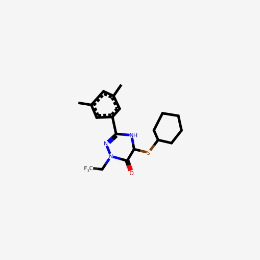 Cc1cc(C)cc(C2=NN(CC(F)(F)F)C(=O)C(SC3CCCCC3)N2)c1